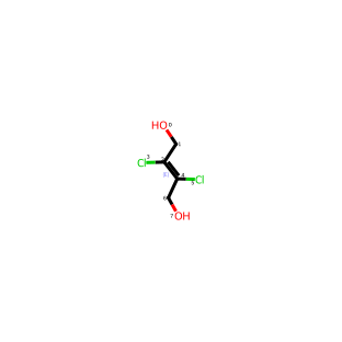 OC/C(Cl)=C(\Cl)CO